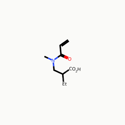 C=CC(=O)N(C)CC(CC)C(=O)O